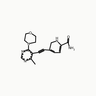 Cc1ncnc(N2CCOCC2)c1C#CC1=C[C]=C(C(N)=O)NC1